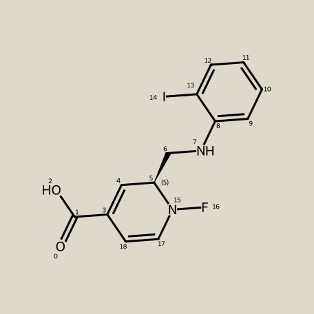 O=C(O)C1=C[C@@H](CNc2ccccc2I)N(F)C=C1